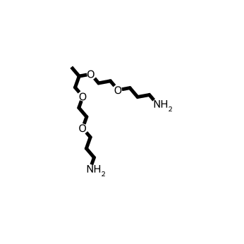 CC(COCCOCCCN)OCCOCCCN